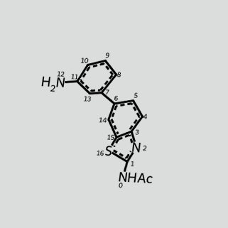 CC(=O)Nc1nc2ccc(-c3cccc(N)c3)cc2s1